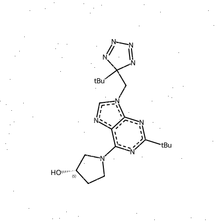 CC(C)(C)c1nc(N2CC[C@H](O)C2)c2ncn(CC3(C(C)(C)C)N=NN=N3)c2n1